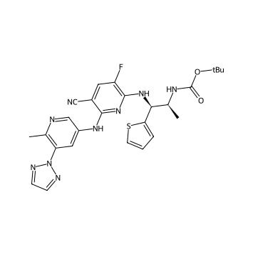 Cc1ncc(Nc2nc(N[C@H](c3cccs3)[C@H](C)NC(=O)OC(C)(C)C)c(F)cc2C#N)cc1-n1nccn1